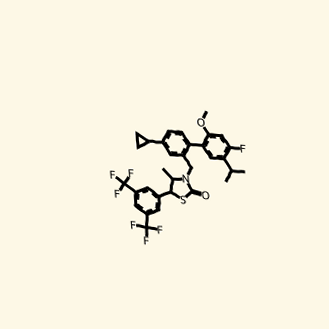 COc1cc(F)c(C(C)C)cc1-c1ccc(C2CC2)cc1CN1C(=O)SC(c2cc(C(F)(F)F)cc(C(F)(F)F)c2)C1C